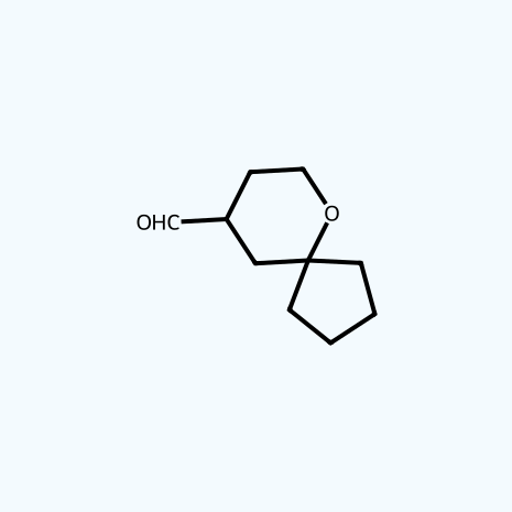 O=CC1CCOC2(CCCC2)C1